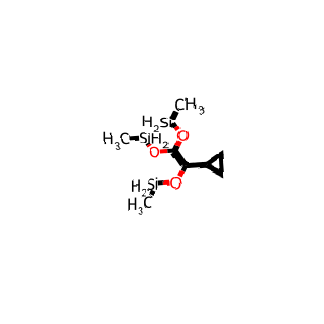 C[SiH2]OC(O[SiH2]C)=C(O[SiH2]C)C1CC1